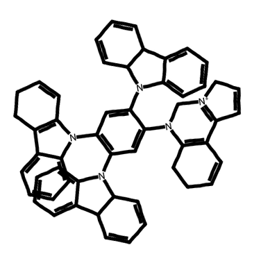 C1=CC2c3ccccc3N(c3cc(-n4c5c(c6ccccc64)CCC=C5)c(N4c5ccccc5C5C=CC=CC54)cc3N3C[N+]4=C(C=CC4)C4=C3CCC=C4)C2C=C1